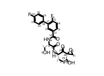 CC(C)C[C@H](NC(=O)[C@H](CO)NC(=O)c1ccc(F)c(-c2ccc(F)cc2)c1)C(=O)[C@]1(CO)CO1